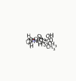 CC1(C)S[C@@H]2[C@H](/N=C/N3[C@@H]4CC[C@H]3C[C@@H](O)C4)C(=O)N2[C@H]1C(=O)O